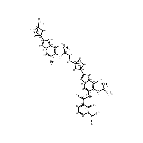 CC(C)Oc1c(NC(=O)c2cccn(C(F)F)c2=O)cn2cc(C34COC(CCC(C)Oc5c(Br)cn6cc(C78COC(C)(C7)C8)nc6c5F)(C3)C4)nc2c1F